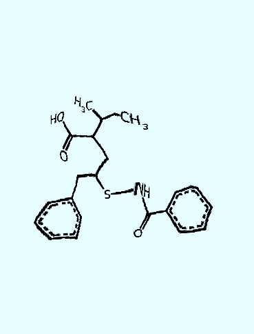 CC(C)C(CC(Cc1ccccc1)SNC(=O)c1ccccc1)C(=O)O